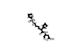 O=CC(CC(=O)O)NC(=O)C(CCCCNS(=O)(=O)c1cccs1)c1cccs1